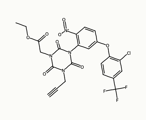 C#CCn1c(=O)n(CC(=O)OCC)c(=O)n(-c2cc(Oc3ccc(C(F)(F)F)cc3Cl)ccc2[N+](=O)[O-])c1=O